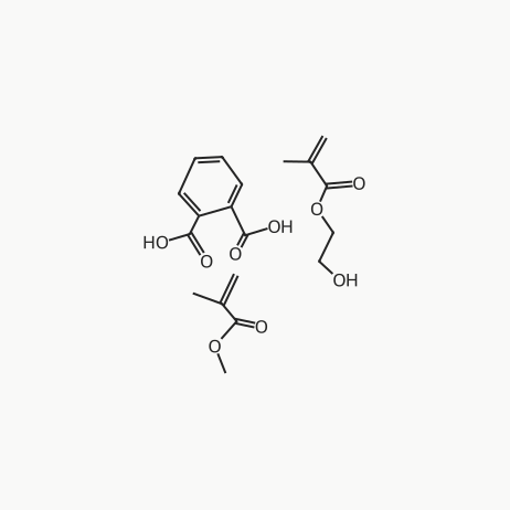 C=C(C)C(=O)OC.C=C(C)C(=O)OCCO.O=C(O)c1ccccc1C(=O)O